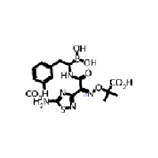 CC(C)(O/N=C(\C(=O)NC(Cc1cccc(C(=O)O)c1)B(O)O)c1nsc(N)n1)C(=O)O